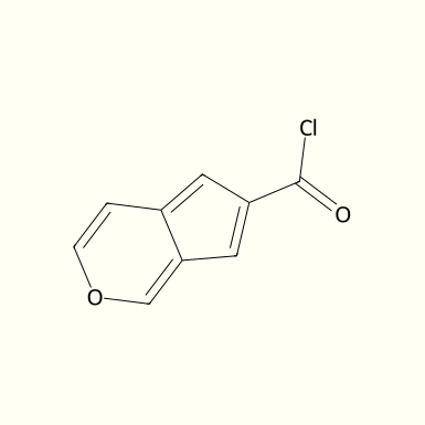 O=C(Cl)c1cc2ccocc-2c1